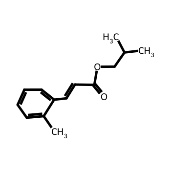 Cc1ccccc1C=CC(=O)OCC(C)C